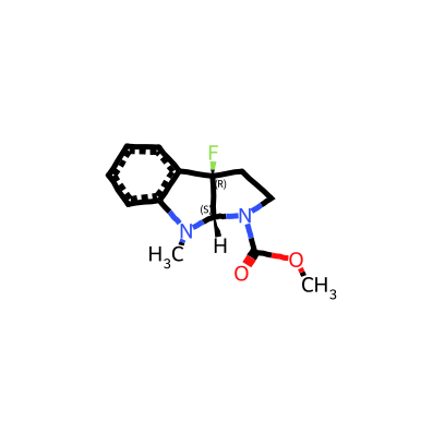 COC(=O)N1CC[C@@]2(F)c3ccccc3N(C)[C@@H]12